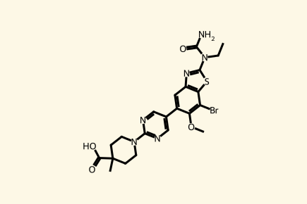 CCN(C(N)=O)c1nc2cc(-c3cnc(N4CCC(C)(C(=O)O)CC4)nc3)c(OC)c(Br)c2s1